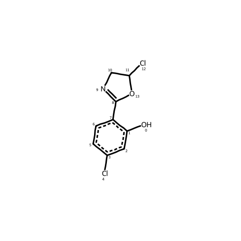 Oc1cc(Cl)ccc1C1=NCC(Cl)O1